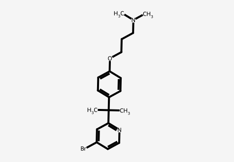 CN(C)CCCOc1ccc(C(C)(C)c2cc(Br)ccn2)cc1